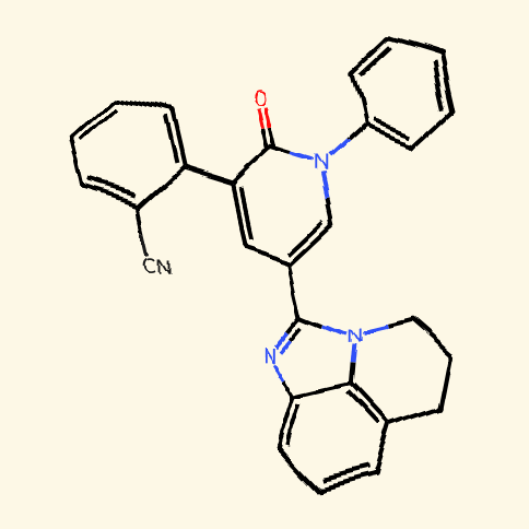 N#Cc1ccccc1-c1cc(-c2nc3cccc4c3n2CCC4)cn(-c2ccccc2)c1=O